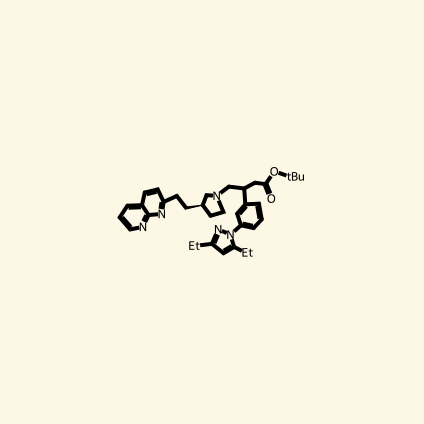 CCc1cc(CC)n(-c2cccc(C(CC(=O)OC(C)(C)C)CN3CC[C@@H](CCc4ccc5cccnc5n4)C3)c2)n1